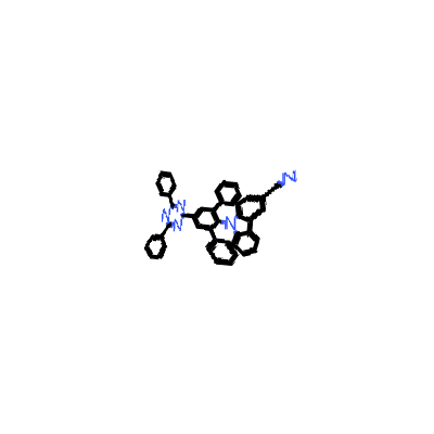 N#Cc1ccc2c(c1)c1ccccc1n2-c1c(-c2ccccc2)cc(-c2nc(-c3ccccc3)nc(-c3ccccc3)n2)cc1-c1ccccc1